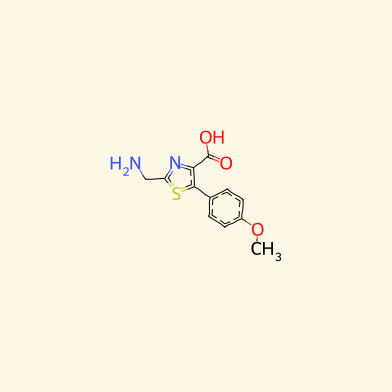 COc1ccc(-c2sc(CN)nc2C(=O)O)cc1